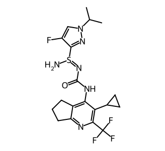 CC(C)n1cc(F)c(/S(N)=N/C(=O)Nc2c3c(nc(C(F)(F)F)c2C2CC2)CCC3)n1